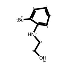 CC(C)(C)c1ccccc1NCCO